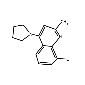 Cc1cc(N2CCCC2)c2cccc(O)c2n1